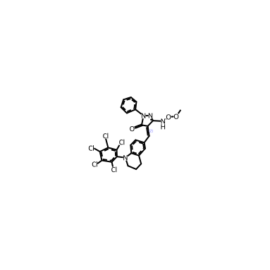 COONC1=NN(c2ccccc2)C(=O)/C1=C\c1ccc2c(c1)CCCN2c1c(Cl)c(Cl)c(Cl)c(Cl)c1Cl